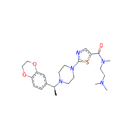 C[C@@H](c1ccc2c(c1)OCCO2)N1CCN(c2ncc(C(=O)N(C)CCN(C)C)s2)CC1